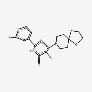 O=c1[nH]c(-c2ccnc(F)c2)nc(N2CCC3(CCCO3)CC2)c1Cl